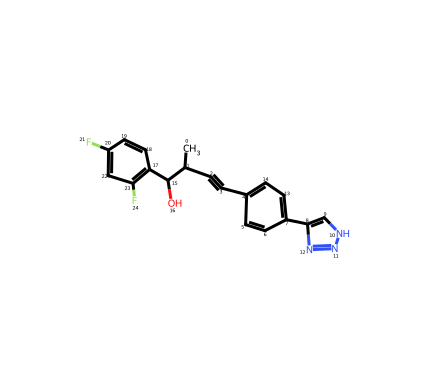 CC(C#Cc1ccc(-c2c[nH]nn2)cc1)C(O)c1ccc(F)cc1F